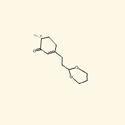 C[C@@H]1CCC(CCC2OCCCO2)=CC1=O